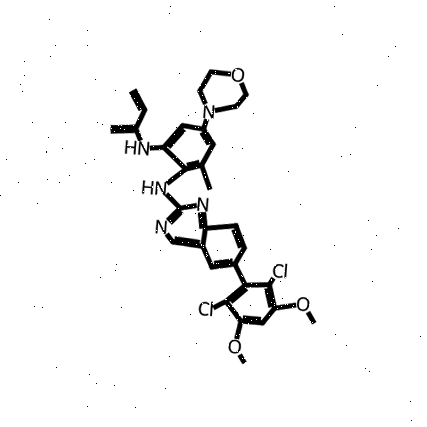 C=CC(=C)Nc1cc(N2CCOCC2)cc(C)c1Nc1ncc2cc(-c3c(Cl)c(OC)cc(OC)c3Cl)ccc2n1